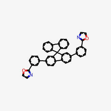 c1cc(-c2ccc3c(c2)C2(c4ccccc4-c4ccccc42)c2cc(-c4cccc(-c5ncco5)c4)ccc2-3)cc(-c2ncco2)c1